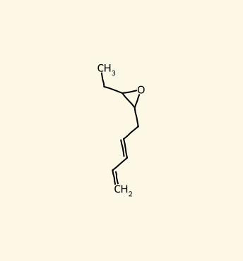 C=CC=CCC1OC1CC